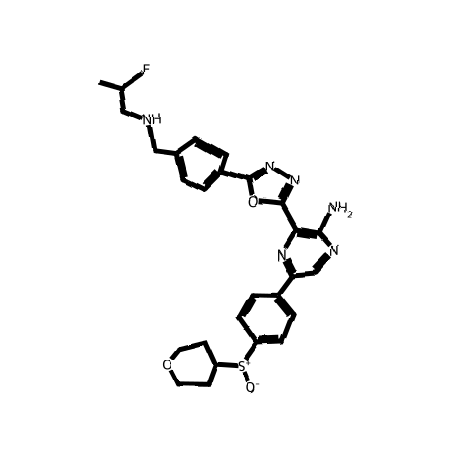 CC(F)CNCc1ccc(-c2nnc(-c3nc(-c4ccc([S+]([O-])C5CCOCC5)cc4)cnc3N)o2)cc1